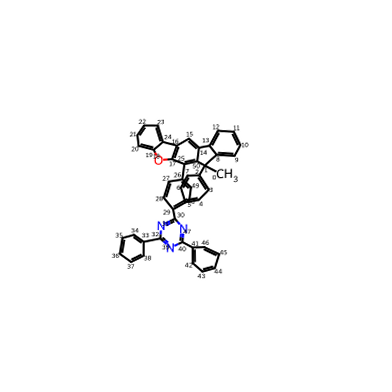 CC1(c2ccccc2)c2ccccc2-c2cc3c(oc4ccccc43)c(-c3ccc(-c4nc(-c5ccccc5)nc(-c5ccccc5)n4)cc3)c21